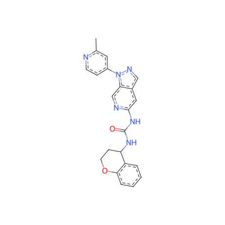 Cc1cc(-n2ncc3cc(NC(=O)NC4CCOc5ccccc54)ncc32)ccn1